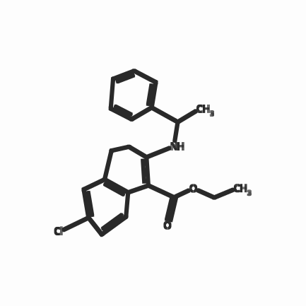 CCOC(=O)C1=C(NC(C)c2ccccc2)CCc2cc(Cl)ccc21